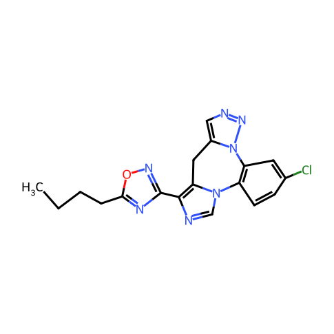 CCCCc1nc(-c2ncn3c2Cc2cnnn2-c2cc(Cl)ccc2-3)no1